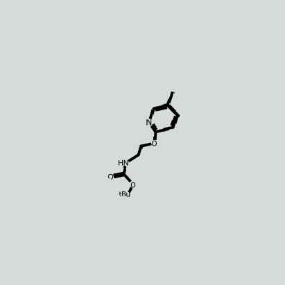 Cc1ccc(OCCNC(=O)OC(C)(C)C)nc1